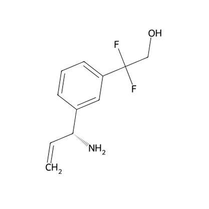 C=C[C@@H](N)c1cccc(C(F)(F)CO)c1